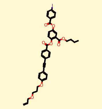 C=CCOCCCOc1ccc(C#Cc2ccc(C(=O)Oc3ccc(OC(=O)c4ccc(I)cc4)cc3C(=O)OCCCC)cc2)cc1